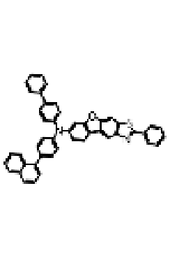 c1ccc(-c2ccc(N(c3ccc(-c4cccc5ccccc45)cc3)c3ccc4c(c3)oc3cc5sc(-c6ccccc6)nc5cc34)cc2)cc1